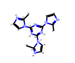 Cc1nccn1-c1nc(-n2ccnc2C)nc(-n2ccnc2C)n1